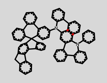 c1ccc(-c2ccccc2N(c2ccc3c(c2)-c2ccccc2-c2ccccc2N3c2ccccc2)c2ccc3c(c2)-c2ccccc2-c2ccccc2C32c3ccccc3-c3c2ccc2c3-c3ccccc3C2)cc1